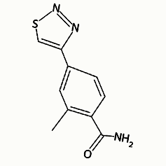 Cc1cc(-c2csnn2)ccc1C(N)=O